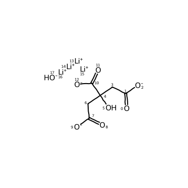 O=C([O-])CC(O)(CC(=O)[O-])C(=O)[O-].[Li+].[Li+].[Li+].[Li+].[OH-]